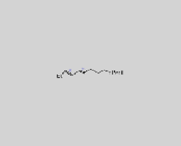 CC/C=C/C=C/CCCCCCCC